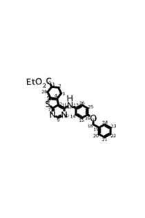 CCOC(=O)C1CCc2c(sc3ncnc(Nc4ccc(OCc5ccccc5)cc4)c23)C1